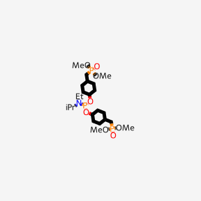 CCN(C(C)C)P(OC1CCC(CP(=O)(OC)OC)CC1)OC1CCC(CP(=O)(OC)OC)CC1